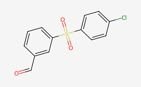 O=Cc1cccc(S(=O)(=O)c2ccc(Cl)cc2)c1